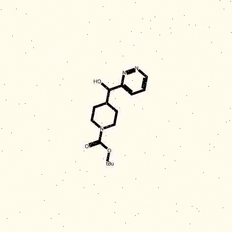 CC(C)(C)OC(=O)N1CCC(C(O)c2cccnn2)CC1